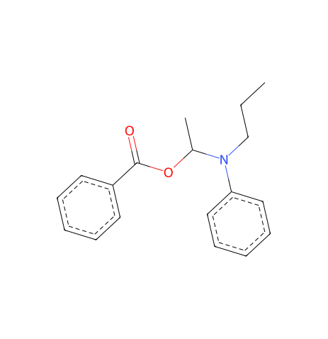 CCCN(c1ccccc1)C(C)OC(=O)c1ccccc1